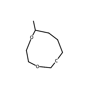 CC1CCCCCOCCO1